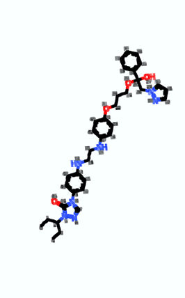 CCC(CC)n1ncn(-c2ccc(NCCNc3ccc(OCCCOC(O)(Cn4cccn4)c4ccccc4)cc3)cc2)c1=O